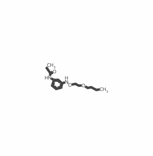 CCCCOCCONc1cccc(NC(=O)CC)c1